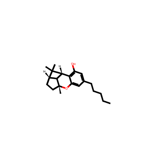 CCCCCc1cc(O)c2c(c1)O[C@]1(C)CC[C@H]3C1[C@@H]2C3(C)C